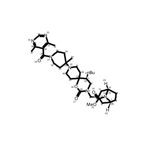 CCCC[C@H]1CN(C[C@@H]2C[C@H]3CC[C@@H](C2)N3C(=O)OC)C(=O)OC12CCN(C1(C)CCN(C(=O)c3c(C)ncnc3C)CC1)CC2